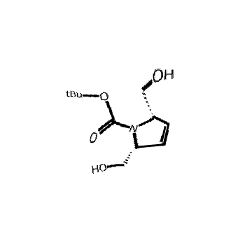 CC(C)(C)OC(=O)N1[C@@H](CO)C=C[C@H]1CO